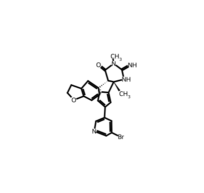 CN1C(=N)N[C@](C)(c2cc(-c3cncc(Br)c3)cs2)[C@H](c2ccc3c(c2)CCO3)C1=O